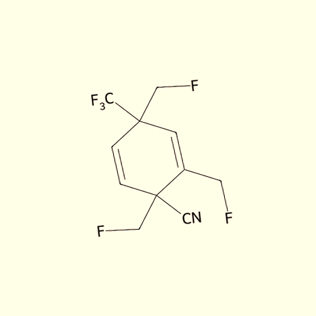 N#CC1(CF)C=CC(CF)(C(F)(F)F)C=C1CF